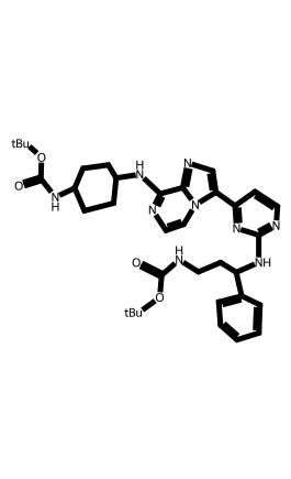 CC(C)(C)OC(=O)NCCC(Nc1nccc(-c2cnc3c(NC4CCC(NC(=O)OC(C)(C)C)CC4)nccn23)n1)c1ccccc1